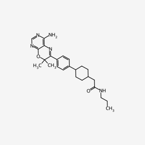 CCCNC(=O)CC1CCC(c2ccc(C3=Nc4c(N)ncnc4OC3(C)C)cc2)CC1